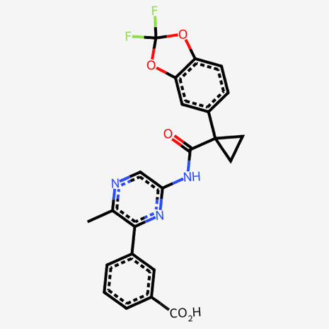 Cc1ncc(NC(=O)C2(c3ccc4c(c3)OC(F)(F)O4)CC2)nc1-c1cccc(C(=O)O)c1